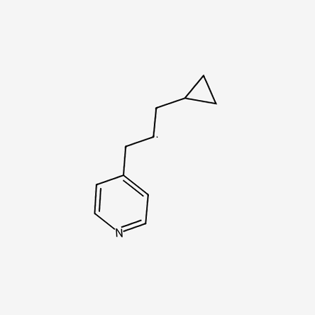 [CH](Cc1ccncc1)CC1CC1